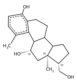 Cc1ccc(O)c2c1C1C(CC2)C2CC[C@H](CO)[C@@]2(C)C[C@@H]1O